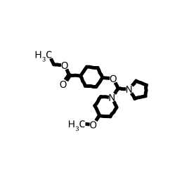 CCOC(=O)C1CCC(OC(N2CCCC2)N2CCC(OC)CC2)CC1